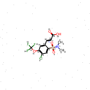 CN(C)S(=O)(=O)c1cc(Cl)c(OC(F)(F)F)cc1/C=C/C(=O)O